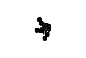 Cc1cc(C2c3c(ccc4cc(OCC5CO5)ccc34)Oc3ccc4cc(OCC5CO5)ccc4c32)cc(I)c1OCC1CO1